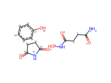 NC(=O)CCC(=O)NO.O=C1CCC(=O)N1.Oc1ccccc1